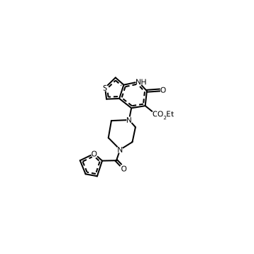 CCOC(=O)c1c(N2CCN(C(=O)c3ccco3)CC2)c2cscc2[nH]c1=O